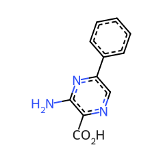 Nc1nc(-c2ccccc2)cnc1C(=O)O